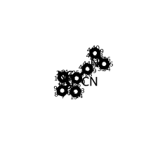 N#Cc1cc([Si](c2ccccc2)(c2ccccc2)c2ccccc2)c(C#N)cc1-c1ccc(-n2c3ccccc3c3ccccc32)cc1